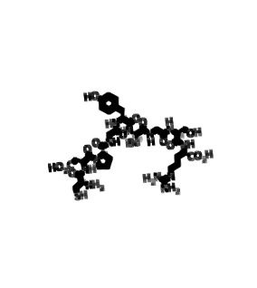 CC[C@H](C)[C@H](NC(=O)[C@H](Cc1ccc(O)cc1)NC(=O)CNC(=O)[C@@H]1CCCN1C(=O)[C@H](CC(=O)O)NC(=O)[C@@H](N)CS)C(=O)NCC(=O)N[C@@H](CO)C(=O)N[C@@H](CCCN=C(N)N)C(=O)O